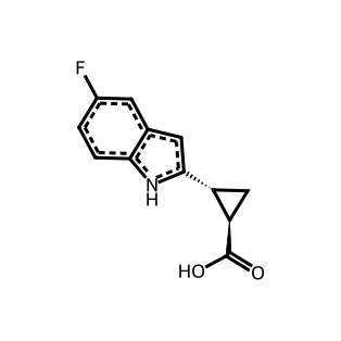 O=C(O)[C@@H]1C[C@H]1c1cc2cc(F)ccc2[nH]1